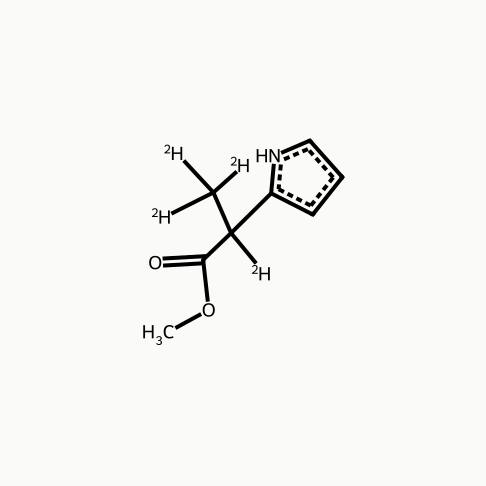 [2H]C([2H])([2H])C([2H])(C(=O)OC)c1ccc[nH]1